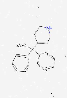 COC(c1ccccc1)(c1ccccc1)C1CCNCC1